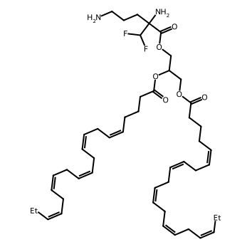 CC/C=C\C/C=C\C/C=C\C/C=C\C/C=C\CCCC(=O)OCC(COC(=O)C(N)(CCCN)C(F)F)OC(=O)CCC/C=C\C/C=C\C/C=C\C/C=C\C/C=C\CC